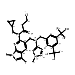 Cc1nn(C)c2nc(N(CC3CC3)C(=O)CCCl)c(CN(Cc3cc(C(F)(F)F)cc(C(F)(F)F)c3)c3nnn(C)n3)cc12